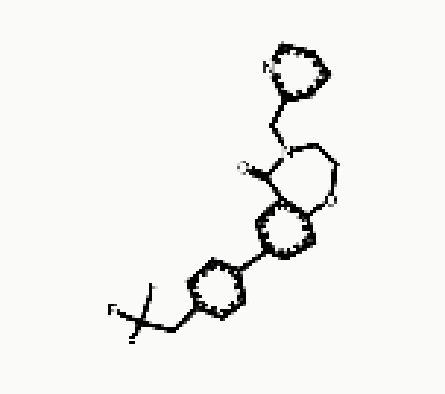 O=C1c2cc(-c3ccc(CC(F)(F)F)cc3)ccc2OCCN1Cc1ccccn1